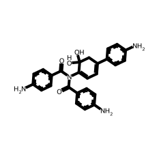 Nc1ccc(C(=O)N(C(=O)c2ccc(N)cc2)C2=CC=C(c3ccc(N)cc3)CC2(O)O)cc1